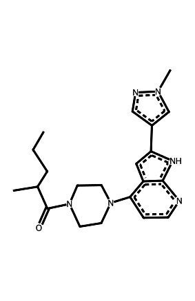 CCCC(C)C(=O)N1CCN(c2ccnc3[nH]c(-c4cnn(C)c4)cc23)CC1